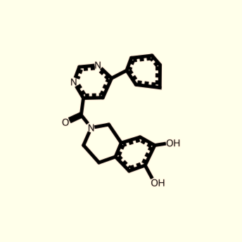 O=C(c1cc(-c2ccccc2)ncn1)N1CCc2cc(O)c(O)cc2C1